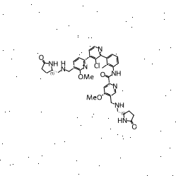 COc1cc(C(=O)Nc2cccc(-c3nccc(-c4ccc(CNC[C@@H]5CCC(=O)N5)c(OC)n4)c3Cl)c2C)ncc1CNC[C@@H]1CCC(=O)N1